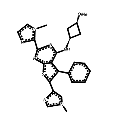 CO[C@H]1C[C@@H](Nc2nc(-c3nccn3C)nc3sc(-c4cn(C)cn4)c(-c4ccccc4)c23)C1